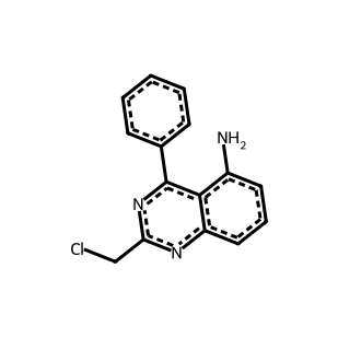 Nc1cccc2nc(CCl)nc(-c3ccccc3)c12